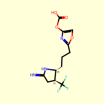 N=C1C[C@H](C(F)(F)F)[C@@H](CCCc2nc(OC(=O)O)co2)N1